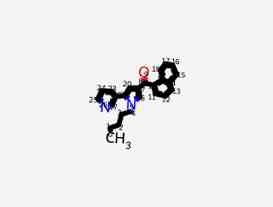 CCCCCn1cc(C(=O)c2cccc3ccccc23)cc1-c1cccnc1